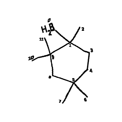 BC1(C)CCC(C)(C)CC1(C)C